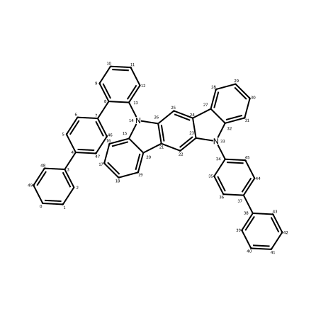 c1ccc(-c2ccc(-c3ccccc3-n3c4ccccc4c4cc5c(cc43)c3ccccc3n5-c3ccc(-c4ccccc4)cc3)cc2)cc1